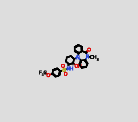 CN1C(=O)c2ccccc2N(C2CCC[C@@H](NS(=O)(=O)c3ccc(OC(F)(F)F)cc3)[C@@H]2O)c2ccccc21